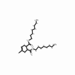 CC1=CCC(C(=O)OCCCCCCCC(C)C)C(C(=O)OCCCCCCCC(C)C)C1